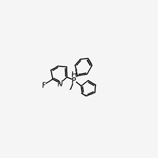 C[PH](c1ccccc1)(c1ccccc1)c1cccc(F)n1